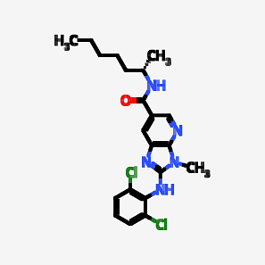 CCCCC[C@H](C)NC(=O)c1cnc2c(c1)nc(Nc1c(Cl)cccc1Cl)n2C